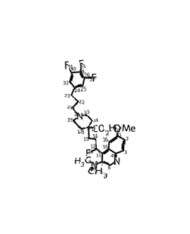 COc1ccc2ncc(N(C)C)c(C(F)CCC3(C(=O)O)CCN(CCCc4cc(F)c(F)c(F)c4)CC3)c2c1